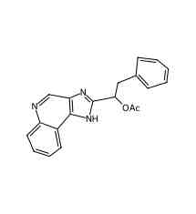 CC(=O)OC(Cc1ccccc1)c1nc2cnc3ccccc3c2[nH]1